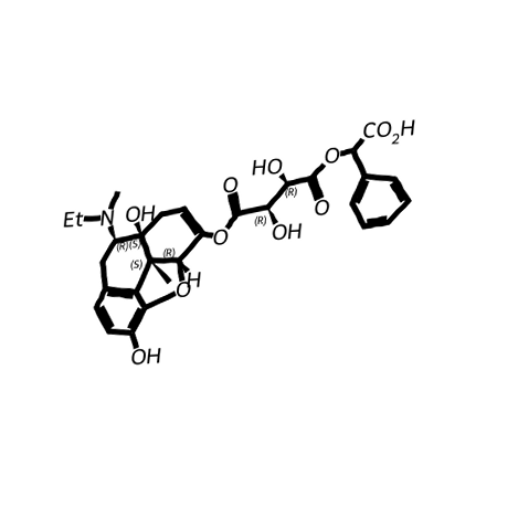 CCN(C)[C@@H]1Cc2ccc(O)c3c2[C@@]2(C)[C@@H](O3)C(OC(=O)[C@H](O)[C@@H](O)C(=O)OC(C(=O)O)c3ccccc3)=CC[C@@]12O